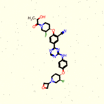 C[C@H](O)C(=O)N1CC[C@H](Oc2ccc(-c3ncnc(Nc4ccc(O[C@H]5CCN(C6COC6)C[C@@H]5F)cc4)n3)cc2C#N)[C@@H](F)C1